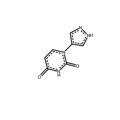 O=c1ccn(-c2cn[nH]c2)c(=O)[nH]1